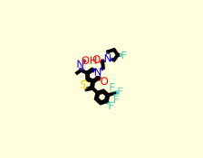 C/C(=N/O)c1cn(CC(=O)N2CCC(F)C2)c(=O)c2c(-c3ccc(F)c(C(F)(F)F)c3)csc12